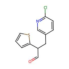 O=CC(Cc1ccc(Cl)nc1)c1cccs1